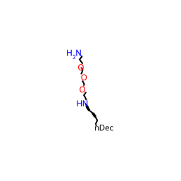 CCCCCCCCCCCCC#CC#CNCCCOCCOCCOCCCN